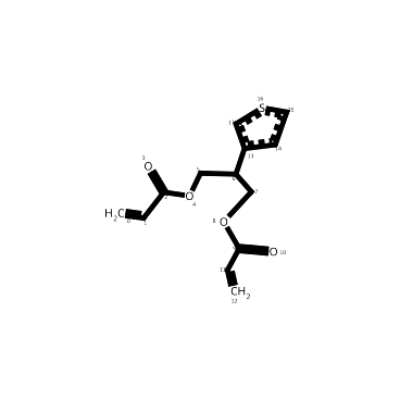 C=CC(=O)OCC(COC(=O)C=C)c1ccsc1